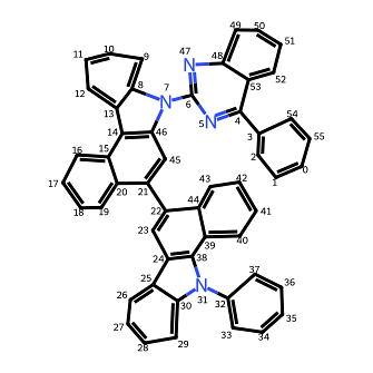 c1ccc(-c2nc(-n3c4ccccc4c4c5ccccc5c(-c5cc6c7ccccc7n(-c7ccccc7)c6c6ccccc56)cc43)nc3ccccc23)cc1